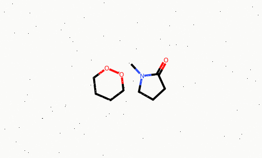 C1CCOOC1.CN1CCCC1=O